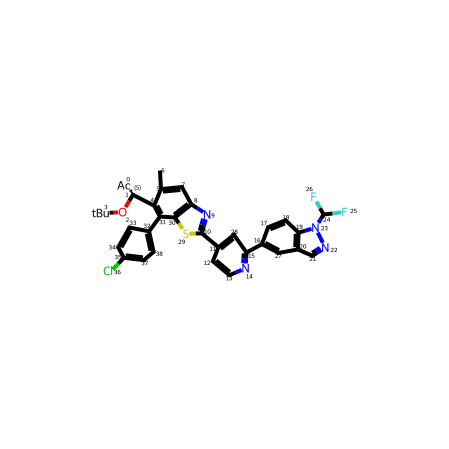 CC(=O)[C@@H](OC(C)(C)C)c1c(C)cc2nc(-c3ccnc(-c4ccc5c(cnn5C(F)F)c4)c3)sc2c1-c1ccc(Cl)cc1